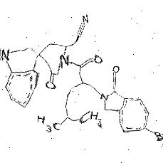 CC(C)CC(C(=O)N1C(=O)[C@]2(CNc3ccccc32)C[C@H]1C#N)N1Cc2cc(Br)ccc2C1=O